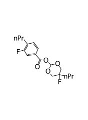 CCCc1ccc(C(=O)OC2OCC(F)(CCC)CO2)cc1F